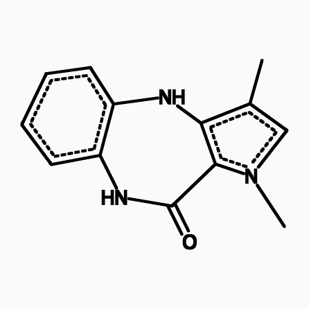 Cc1cn(C)c2c1Nc1ccccc1NC2=O